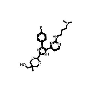 CN(C)CCCNc1nccc(-c2[nH]c(C3OCC(C)(CO)CO3)nc2-c2ccc(F)cc2)n1